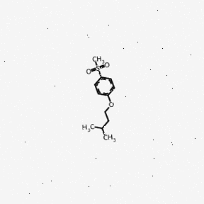 CC(C)CCOc1ccc(S(C)(=O)=O)cc1